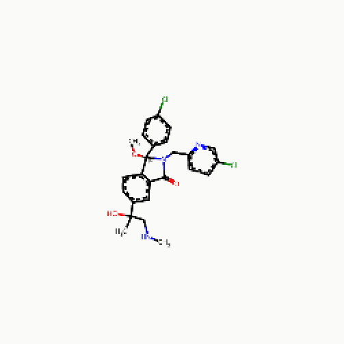 CNCC(C)(O)c1ccc2c(c1)C(=O)N(Cc1ccc(Cl)cn1)[C@@]2(OC)c1ccc(Cl)cc1